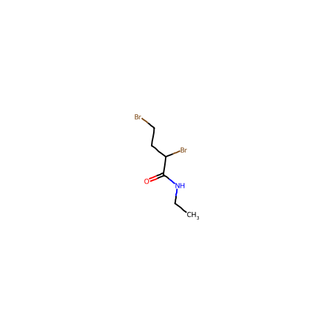 CCNC(=O)C(Br)CCBr